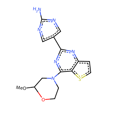 COC1CN(c2nc(-c3cnc(N)nc3)nc3ccsc23)CCO1